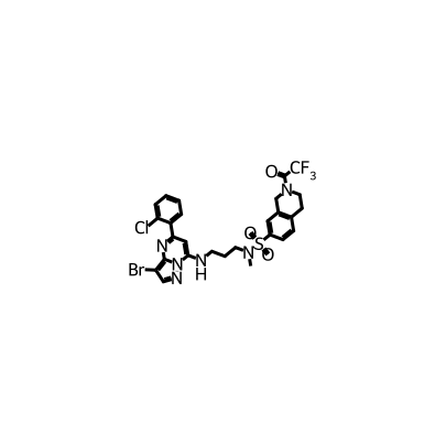 CN(CCCNc1cc(-c2ccccc2Cl)nc2c(Br)cnn12)S(=O)(=O)c1ccc2c(c1)CN(C(=O)C(F)(F)F)CC2